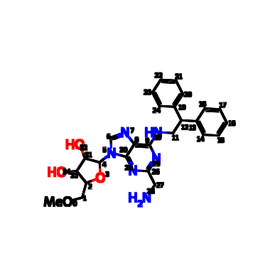 COCC1OC(n2cnc3c(NCC(c4ccccc4)c4ccccc4)nc(CN)nc32)C(O)C1O